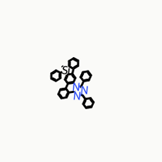 C[Si]1(c2ccccc2)c2ccccc2-c2ccc(-c3ccccc3-c3nc(-c4ccccc4)nc(-c4ccccc4)n3)cc21